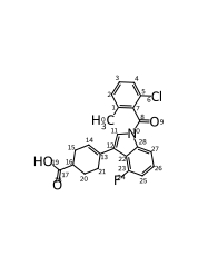 Cc1cccc(Cl)c1C(=O)n1cc(C2=CCC(C(=O)O)CC2)c2c(F)cccc21